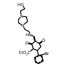 CCOC(=O)C1C(=O)/C(=C\NCCN2CCN(CCO)CC2)C(=O)CC1c1ccccc1Br